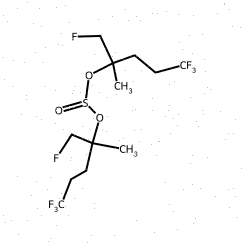 CC(CF)(CCC(F)(F)F)OS(=O)OC(C)(CF)CCC(F)(F)F